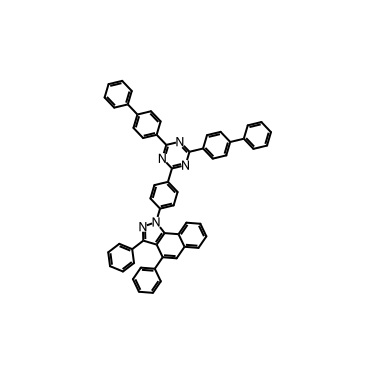 c1ccc(-c2ccc(-c3nc(-c4ccc(-c5ccccc5)cc4)nc(-c4ccc(-n5nc(-c6ccccc6)c6c(-c7ccccc7)cc7ccccc7c65)cc4)n3)cc2)cc1